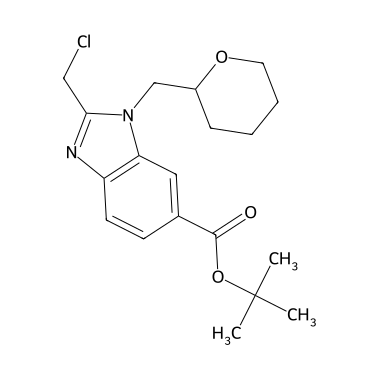 CC(C)(C)OC(=O)c1ccc2nc(CCl)n(CC3CCCCO3)c2c1